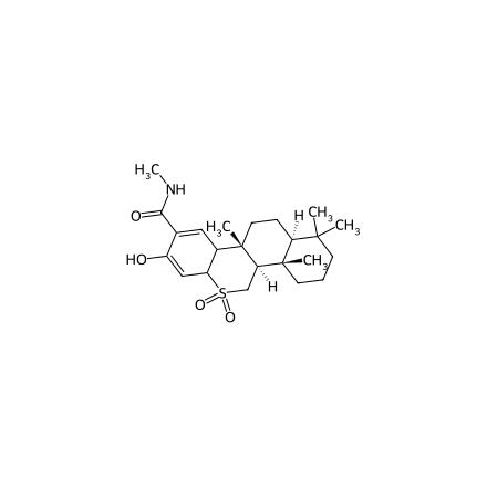 CNC(=O)C1=CC2C(C=C1O)S(=O)(=O)C[C@@H]1[C@@]3(C)CCCC(C)(C)[C@@H]3CC[C@@]21C